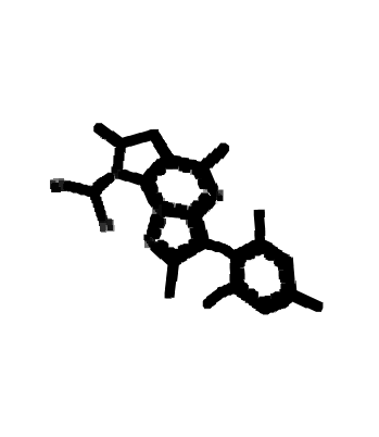 CCC(CC)N1c2c(c(C)nc3c(-c4c(C)cc(C)cc4C)c(C)nn23)CC1C